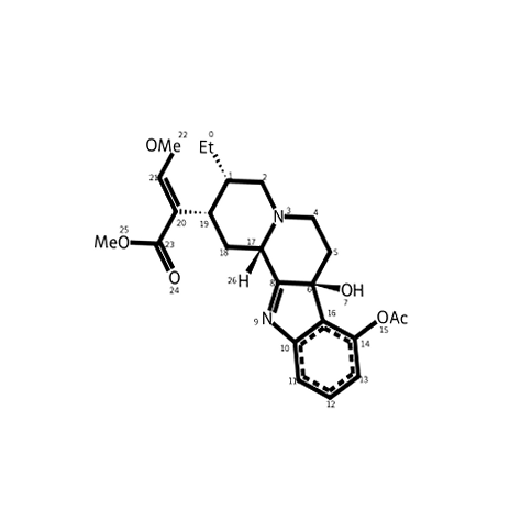 CC[C@@H]1CN2CC[C@@]3(O)C(=Nc4cccc(OC(C)=O)c43)[C@@H]2C[C@@H]1/C(=C\OC)C(=O)OC